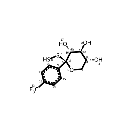 O[C@H]1[C@H](O)CO[C@](SS)(c2ccc(C(F)(F)F)cc2)[C@@H]1O